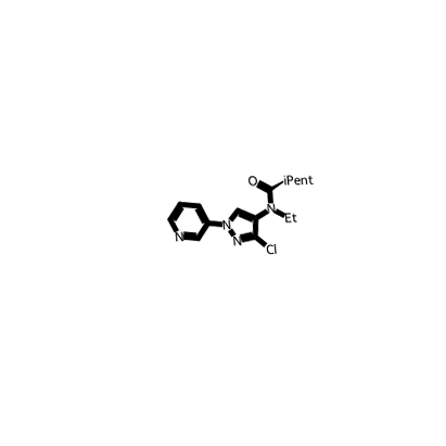 CC[CH][C@H](C)C(=O)N(CC)c1cn(-c2cccnc2)nc1Cl